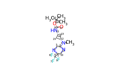 CN(c1cnc(C(F)(F)F)cn1)[C@H]1C[C@@H](NC(=O)OC(C)(C)C)C1